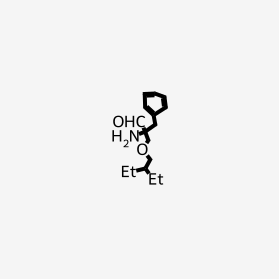 CCC(CC)COCC(N)(C=O)Cc1ccccc1